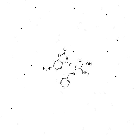 Cc1cc(=O)oc2cc(N)ccc12.N[C@@H](CSCc1ccccc1)C(=O)O